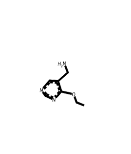 CCOc1ncncc1CN